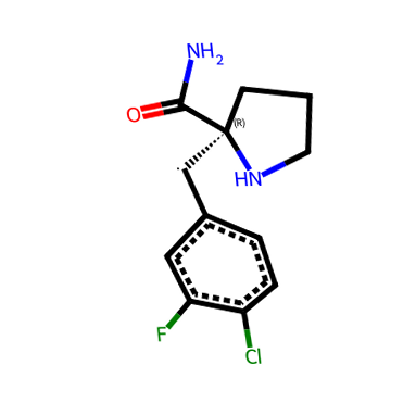 NC(=O)[C@@]1([CH]c2ccc(Cl)c(F)c2)CCCN1